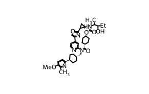 CCC(O)C(C)NC(=O)O[C@H]1CC[C@H](C(=O)N(C[C@H]2CC[C@H](c3ccc(OC)c(C)n3)CC2)c2cc(-c3coc(C4CC4)n3)ccn2)CC1